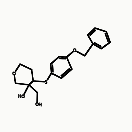 OCC1(O)COCCC1Sc1ccc(OCc2ccccc2)cc1